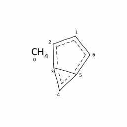 C.c1cc2cc-2c1